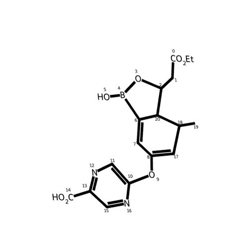 CCOC(=O)CC1OB(O)C2=CC(Oc3cnc(C(=O)O)cn3)=CC(C)C21